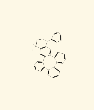 CC1(C)CCN(c2ccccc2)c2cc3c(cc21)-c1ccccc1-c1ccccc1-c1ccccc1-3